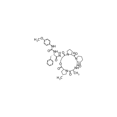 COc1ccc(NC(=O)N[C@@H](Cc2ccccc2)C(=O)N[C@H]2COC(=O)C3C[C@@H](C)CN3C(=O)[C@H](C)NC(=O)[C@@H]3CCCCN3C(=O)[C@@H]3CCCN3C2=O)cc1